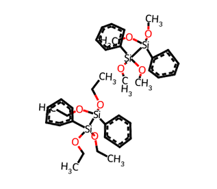 CCO[Si](OCC)(c1ccccc1)[Si](OCC)(OCC)c1ccccc1.CO[Si](OC)(c1ccccc1)[Si](OC)(OC)c1ccccc1